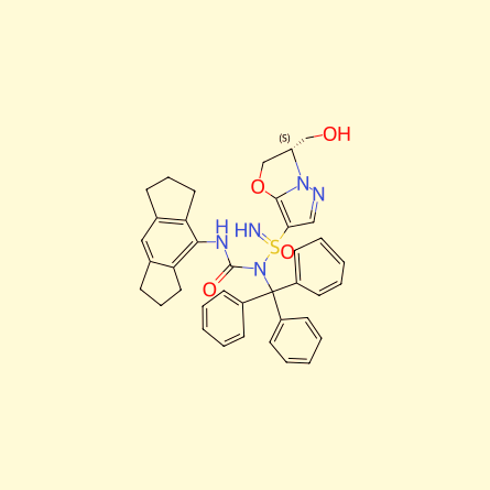 N=S(=O)(c1cnn2c1OC[C@@H]2CO)N(C(=O)Nc1c2c(cc3c1CCC3)CCC2)C(c1ccccc1)(c1ccccc1)c1ccccc1